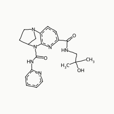 CC(C)(O)CNC(=O)c1ccc2c(n1)N(C(=O)Nc1ccccn1)C1CCN2C1